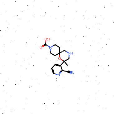 CC1(c2cccnc2C#N)CNCC2(CCN(C(=O)O)CC2)O1